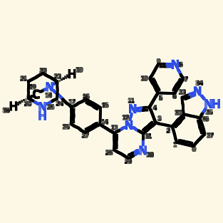 c1cc(-c2c(-c3ccncc3)nn3c(-c4ccc(N5C[C@@H]6CC[C@H]5CN6)cc4)ccnc23)c2cn[nH]c2c1